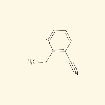 CCc1[c]cccc1C#N